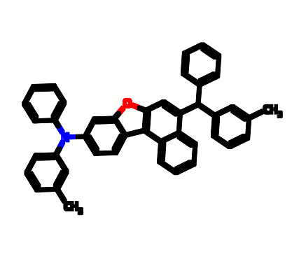 Cc1cccc(C(c2ccccc2)c2cc3oc4cc(N(c5ccccc5)c5cccc(C)c5)ccc4c3c3ccccc23)c1